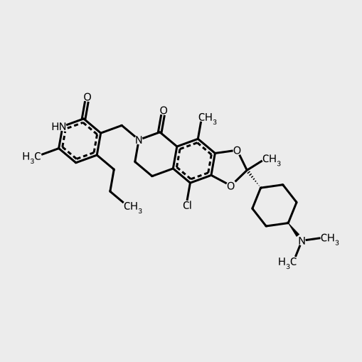 CCCc1cc(C)[nH]c(=O)c1CN1CCc2c(Cl)c3c(c(C)c2C1=O)OC(C)([C@H]1CC[C@H](N(C)C)CC1)O3